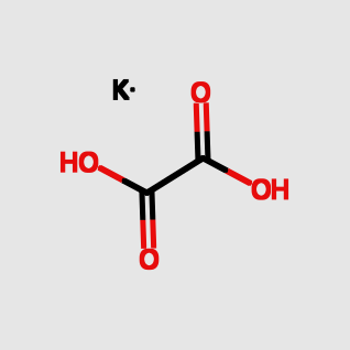 O=C(O)C(=O)O.[K]